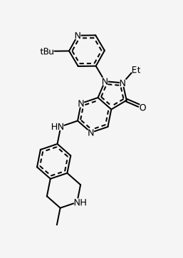 CCn1c(=O)c2cnc(Nc3ccc4c(c3)CNC(C)C4)nc2n1-c1ccnc(C(C)(C)C)c1